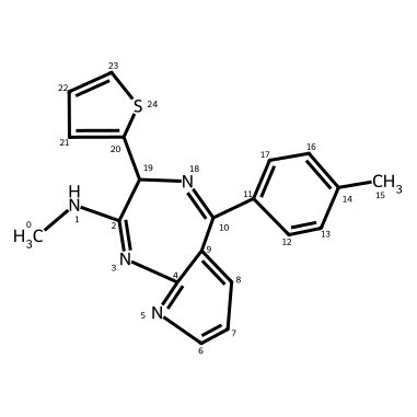 CNC1=Nc2ncccc2C(c2ccc(C)cc2)=NC1c1cccs1